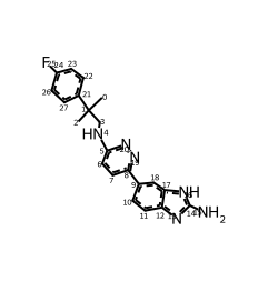 CC(C)(CNc1ccc(-c2ccc3nc(N)[nH]c3c2)nn1)c1ccc(F)cc1